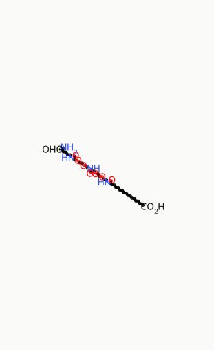 N[C@H](C=O)CCCCNC(=O)COCCOCCNC(=O)COCCOCCNC(=O)CCCCCCCCCCCCCCCCC(=O)O